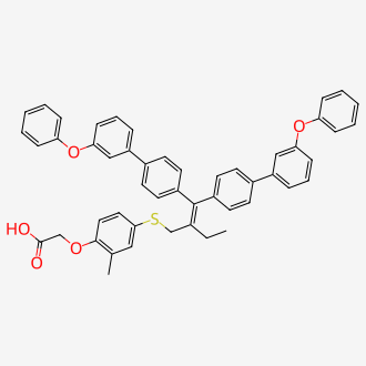 CCC(CSc1ccc(OCC(=O)O)c(C)c1)=C(c1ccc(-c2cccc(Oc3ccccc3)c2)cc1)c1ccc(-c2cccc(Oc3ccccc3)c2)cc1